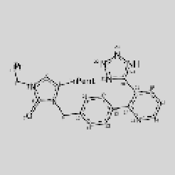 CCCCCc1cn(CC(C)C)c(=O)n1Cc1ccc(-c2ncccc2-c2nnn[nH]2)cc1